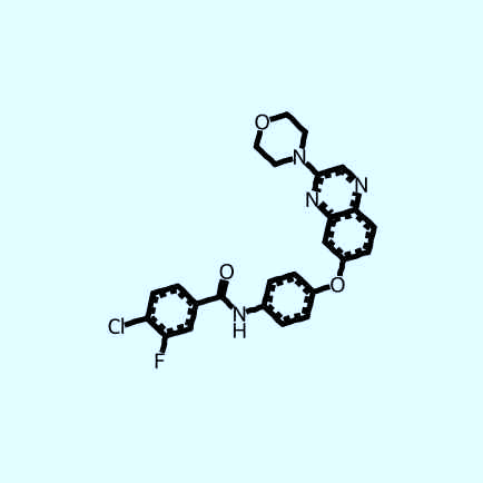 O=C(Nc1ccc(Oc2ccc3ncc(N4CCOCC4)nc3c2)cc1)c1ccc(Cl)c(F)c1